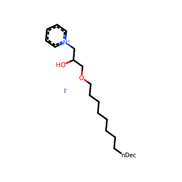 CCCCCCCCCCCCCCCCCCOCC(O)C[n+]1ccccc1.[I-]